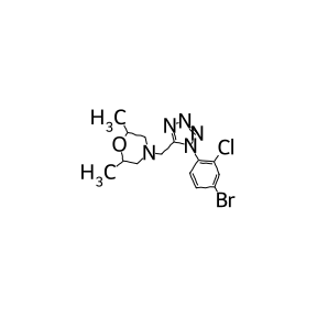 CC1CN(Cc2nnnn2-c2ccc(Br)cc2Cl)CC(C)O1